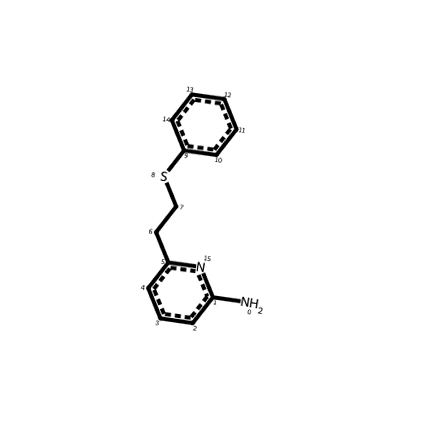 Nc1cccc(CCSc2c[c]ccc2)n1